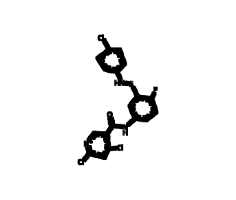 O=C(Nc1ccc(F)c(SNc2ccc(Cl)cc2)c1)c1cnc(Cl)cc1Cl